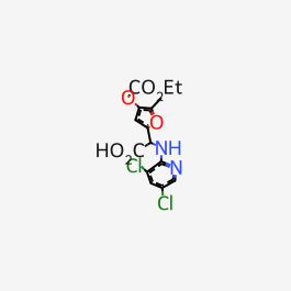 CCOC(=O)Oc1cc(C(Nc2ncc(Cl)cc2Cl)C(=O)O)oc1C